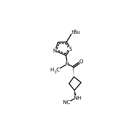 CN(c1ncc(C(C)(C)C)s1)C(=O)[C@H]1C[C@H](NC#N)C1